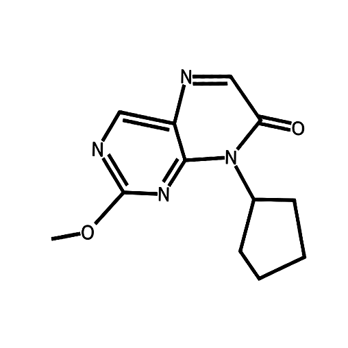 COc1ncc2ncc(=O)n(C3CCCC3)c2n1